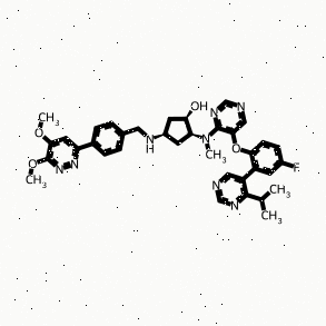 COc1cc(-c2ccc(CN[C@H]3C[C@@H](O)[C@@H](N(C)c4ncncc4Oc4ccc(F)cc4-c4cncnc4C(C)C)C3)cc2)nnc1OC